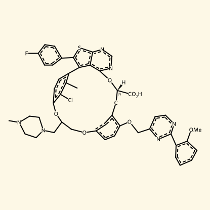 COc1ccccc1-c1nccc(COc2ccc3cc2C[C@@H](C(=O)O)Oc2ncnc4sc(-c5ccc(F)cc5)c(c24)-c2ccc(c(Cl)c2C)OC(CN2CCN(C)CC2)CO3)n1